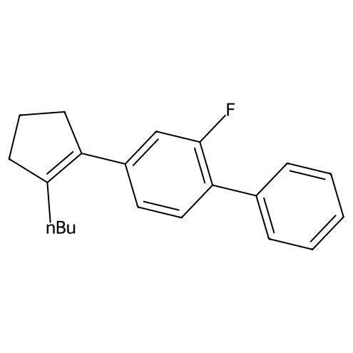 CCCCC1=C(c2ccc(-c3ccccc3)c(F)c2)CCC1